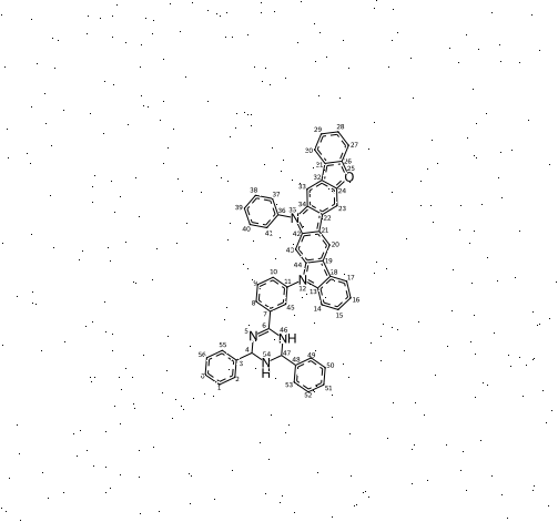 c1ccc(C2N=C(c3cccc(-n4c5ccccc5c5cc6c7cc8oc9ccccc9c8cc7n(-c7ccccc7)c6cc54)c3)NC(c3ccccc3)N2)cc1